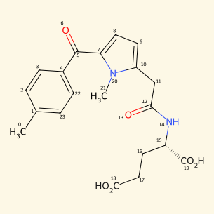 Cc1ccc(C(=O)c2ccc(CC(=O)N[C@@H](CCC(=O)O)C(=O)O)n2C)cc1